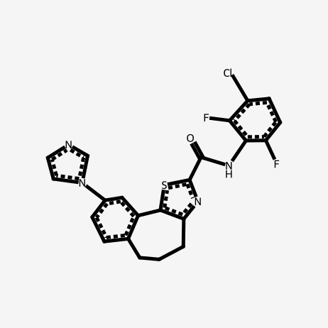 O=C(Nc1c(F)ccc(Cl)c1F)c1nc2c(s1)-c1cc(-n3ccnc3)ccc1CCC2